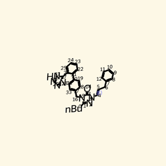 CCCCc1nn(/C=C/Cc2ccccc2)c(=O)n1Cc1ccc(-c2ccccc2-c2nnn[nH]2)cc1